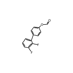 O=COc1ccc(-c2cccc(F)c2F)cc1